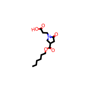 CCCCCCOC(=O)C1CC(=O)N(CCC(=O)O)C1